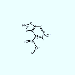 COC(=O)c1cccc2c1CNC2.Cl